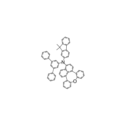 CC1(C)c2ccccc2-c2ccc(N(c3cc(-c4ccccc4)cc(-c4ccccc4)c3)c3ccc4c5c(cccc35)-c3ccccc3Oc3ccccc3-4)cc21